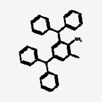 Cc1cc(C(c2ccccc2)c2ccccc2)cc(C(c2ccccc2)c2ccccc2)c1N